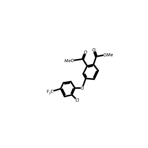 COC(=O)c1ccc(Oc2ccc(C(F)(F)F)cc2Cl)cc1C(=O)OC